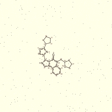 O=c1c2c(-c3noc(C4CCCC4)n3)ncn2c2ccccc2n1CC1CCCO1